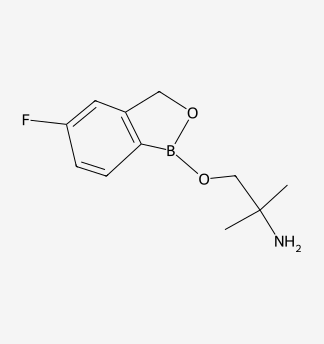 CC(C)(N)COB1OCc2cc(F)ccc21